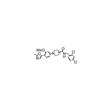 COc1cc(N2CCN(C(=O)NCc3ccc(Cl)cc3Cl)CC2)ccc1-c1cnc(C)o1